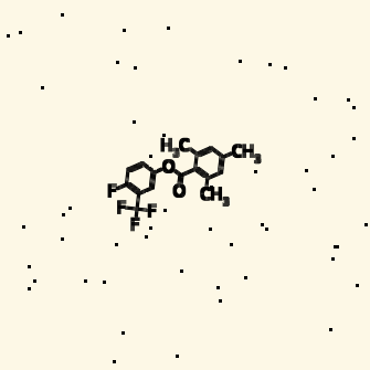 Cc1cc(C)c(C(=O)Oc2ccc(F)c(C(F)(F)F)c2)c(C)c1